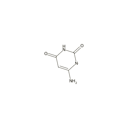 NC1=CC(=O)NC(=O)[N]1